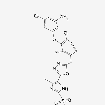 Cc1nc(S(C)(=O)=O)[nH]c1-c1nnc(Cc2ccc(Cl)c(Oc3cc(N)cc(Cl)c3)c2F)o1